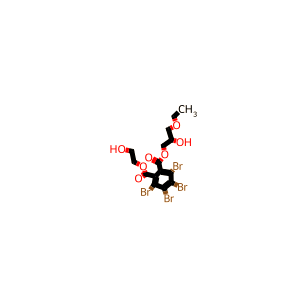 CCOCC(O)COC(=O)c1c(Br)c(Br)c(Br)c(Br)c1C(=O)OCCO